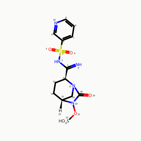 N=C(NS(=O)(=O)c1cccnc1)[C@@H]1CC[C@@H]2CN1C(=O)N2OS(=O)(=O)O